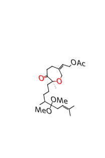 COC(CC=C(C)C)(OC)C(C)CCC[C@]1(C)OCC(=CCOC(C)=O)CCC1=O